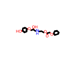 O=C(COc1ccccc1)OCCCNCC(O)COc1ccc(O)cc1